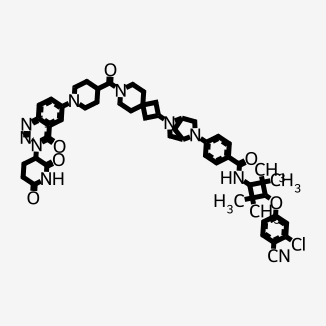 CC1(C)C(NC(=O)c2ccc(N3CC4CC3CN4C3CC4(CCN(C(=O)C5CCN(c6ccc7nnn(C8CCC(=O)NC8=O)c(=O)c7c6)CC5)CC4)C3)cc2)C(C)(C)C1Oc1ccc(C#N)c(Cl)c1